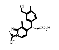 Cc1ccc([C@H](CC(=O)O)c2ccn3c(C(F)(F)F)nnc3c2C)cc1CCl